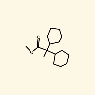 COC(=O)C(C)(C1CCCCC1)C1CCCCC1